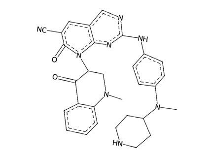 CN1CC(n2c(=O)c(C#N)cc3cnc(Nc4ccc(N(C)C5CCNCC5)cc4)nc32)C(=O)c2ccccc21